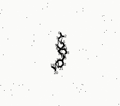 CC(C)CN1CCC2(CC1)CCN(CC1CCN(C(C)C)CC1)CC2